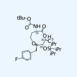 CC(C)[Si](O[C@H]1[C@H](C)OC(=O)[C@@H](NC(=O)OC(C)(C)C)CCO[C@@H]1Cc1ccc(F)cc1)(C(C)C)C(C)C